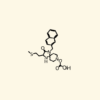 CSCCC1NC2(CCN(OC(=O)O)CC2)N(Cc2ccc3ccccc3c2)C1=O